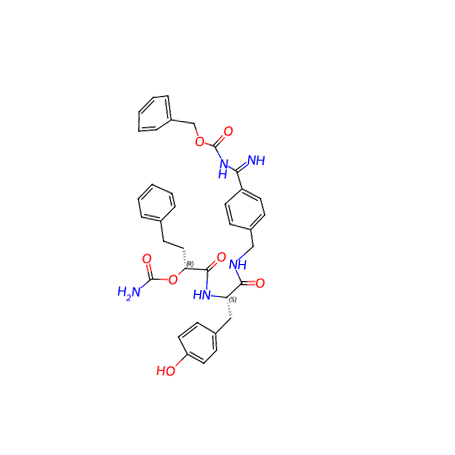 N=C(NC(=O)OCc1ccccc1)c1ccc(CNC(=O)[C@H](Cc2ccc(O)cc2)NC(=O)[C@@H](CCc2ccccc2)OC(N)=O)cc1